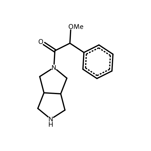 COC(C(=O)N1CC2CNCC2C1)c1ccccc1